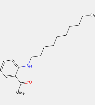 COC(=O)c1ccccc1NCCCCCCCCCC=O